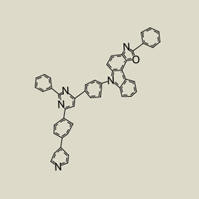 c1ccc(-c2nc(-c3ccc(-c4ccncc4)cc3)cc(-c3ccc(-n4c5ccccc5c5c6oc(-c7ccccc7)nc6ccc54)cc3)n2)cc1